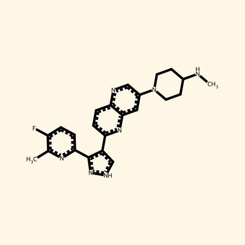 CNC1CCN(c2cnc3ccc(-c4c[nH]nc4-c4ccc(F)c(C)n4)nc3c2)CC1